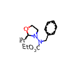 CCOC(=O)N(Cc1ccccc1)N1CCOC1C(C)C